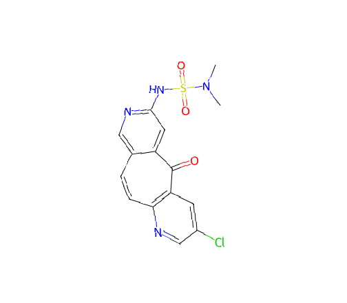 CN(C)S(=O)(=O)Nc1cc2c(=O)c3cc(Cl)cnc3ccc2cn1